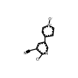 N#Cc1cc(-c2cc[n+]([O-])cc2)cnc1Cl